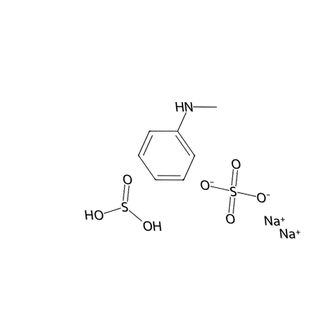 CNc1ccccc1.O=S(=O)([O-])[O-].O=S(O)O.[Na+].[Na+]